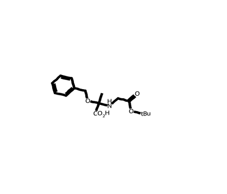 CC(C)(C)OC(=O)CNC(C)(OCc1ccccc1)C(=O)O